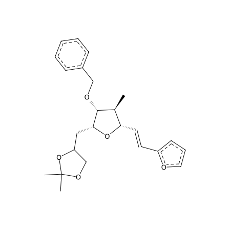 C[C@@H]1[C@@H](OCc2ccccc2)[C@@H](CC2COC(C)(C)O2)O[C@H]1/C=C/c1ccco1